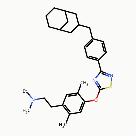 CCN(C)CCc1cc(C)c(Oc2nc(-c3ccc(CC4CC5CCCC(C5)C4)cc3)ns2)cc1C